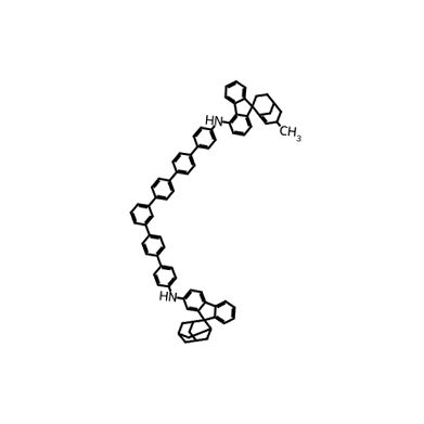 CC1C=C2CC(CCC23c2ccccc2-c2c(Nc4ccc(-c5ccc(-c6ccc(-c7cccc(-c8ccc(-c9ccc(Nc%10ccc%11c(c%10)C%10(c%12ccccc%12-%11)C%11CC%12CC(C%11)CC%10C%12)cc9)cc8)c7)cc6)cc5)cc4)cccc23)C1